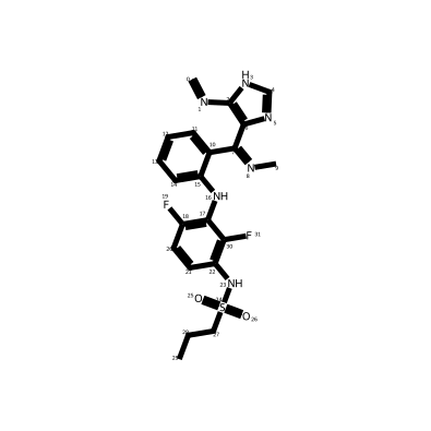 C=Nc1[nH]cnc1/C(=N\C)c1ccccc1Nc1c(F)ccc(NS(=O)(=O)CCC)c1F